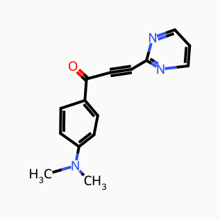 CN(C)c1ccc(C(=O)C#Cc2ncccn2)cc1